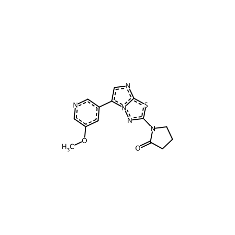 COc1cncc(-c2cnc3sc(N4CCCC4=O)nn23)c1